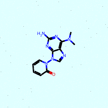 CN(C)c1nc(N)nc2c1ncn2-n1ccccc1=O